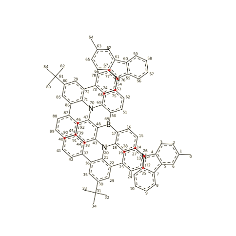 Cc1ccc2c(c1)c1ccccc1n2-c1ccc2c(c1)N(c1c(-c3ccccc3)cc(C(C)(C)C)cc1-c1ccccc1)c1cccc3c1B2c1ccc(-n2c4ccccc4c4cc(C)ccc42)cc1N3c1c(-c2ccccc2)cc(C(C)(C)C)cc1-c1ccccc1